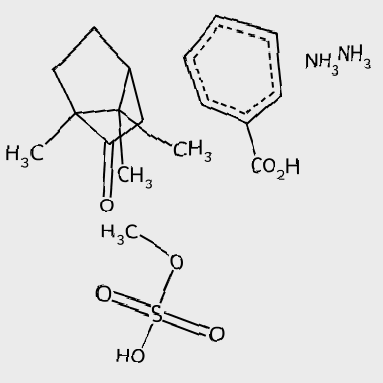 CC12CCC(CC1=O)C2(C)C.COS(=O)(=O)O.N.N.O=C(O)c1ccccc1